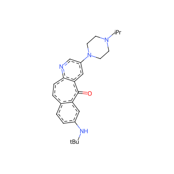 CC(C)N1CCN(c2cnc3ccc4ccc(NC(C)(C)C)cc4c(=O)c3c2)CC1